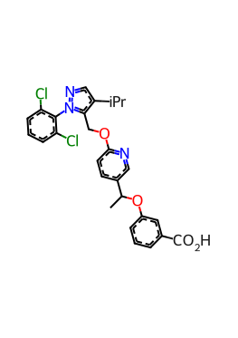 CC(C)c1cnn(-c2c(Cl)cccc2Cl)c1COc1ccc(C(C)Oc2cccc(C(=O)O)c2)cn1